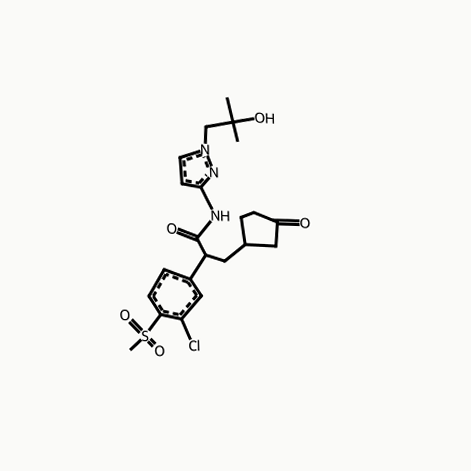 CC(C)(O)Cn1ccc(NC(=O)C(CC2CCC(=O)C2)c2ccc(S(C)(=O)=O)c(Cl)c2)n1